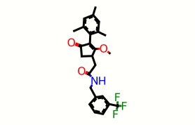 COC1=C(c2c(C)cc(C)cc2C)C(=O)CC1CC(=O)NCc1cccc(C(F)(F)F)c1